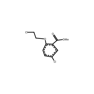 COC(=O)c1cc(Cl)ccc1OCCCl